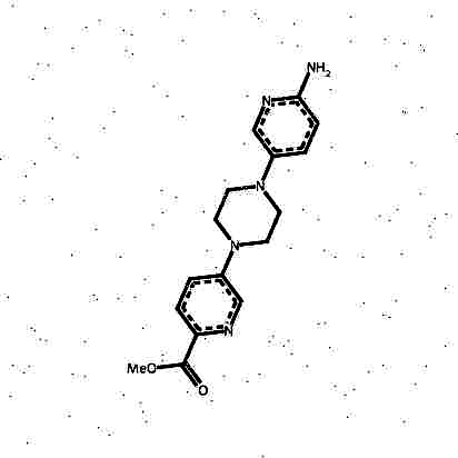 COC(=O)c1ccc(N2CCN(c3ccc(N)nc3)CC2)cn1